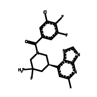 Cc1cc([C@@H]2CN(C(=O)c3cc(F)c(F)c(Cl)c3)CC(F)(P)C2)n2ncnc2n1